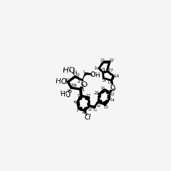 OC[C@H]1OC(c2ccc(Cl)c(Cc3ccc(OC4CC5CCCC5C4)cc3)c2)[C@H](O)[C@@H](O)[C@@H]1O